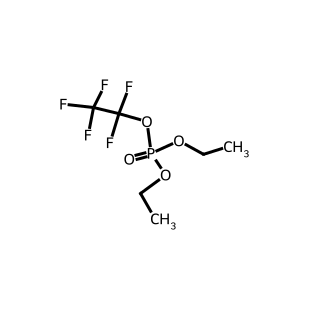 CCOP(=O)(OCC)OC(F)(F)C(F)(F)F